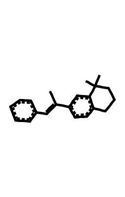 CC(=Cc1ccccc1)c1ccc2c(c1)C(C)(C)CCC2